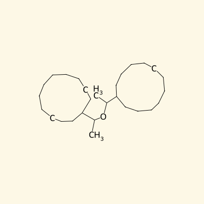 CC(OC(C)C1CCCCCCCCCCC1)C1CCCCCCCCCCC1